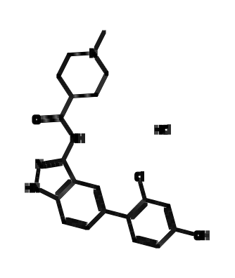 CN1CCC(C(=O)Nc2n[nH]c3ccc(-c4ccc(O)cc4Cl)cc23)CC1.Cl